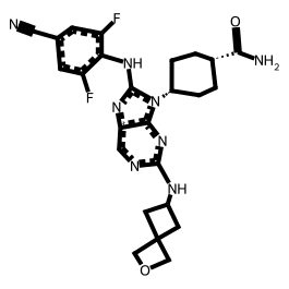 N#Cc1cc(F)c(Nc2nc3cnc(NC4CC5(COC5)C4)nc3n2[C@H]2CC[C@@H](C(N)=O)CC2)c(F)c1